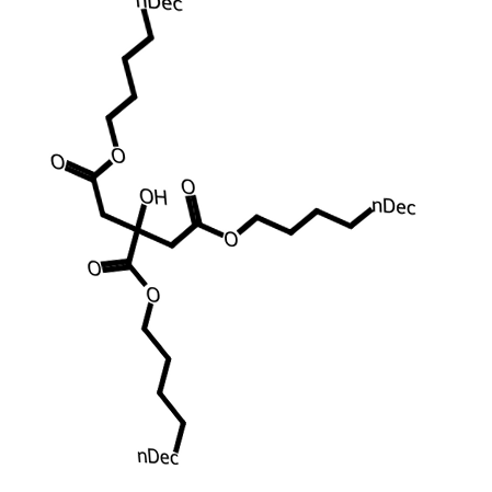 CCCCCCCCCCCCCCOC(=O)CC(O)(CC(=O)OCCCCCCCCCCCCCC)C(=O)OCCCCCCCCCCCCCC